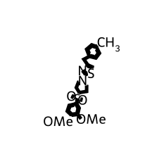 COc1ccc(S(=O)(=O)C2CCN(c3nc(Cc4ccc(C)cc4)cs3)CC2)cc1OC